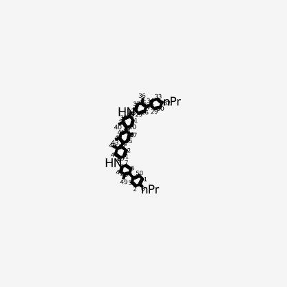 CCCc1ccc(-c2ccc(Nc3ccc(-c4cc(C)c(-c5ccc(Nc6ccc(-c7ccc(CCC)cc7)c(C)c6)cc5C)cc4C)c(C)c3)cc2C)cc1